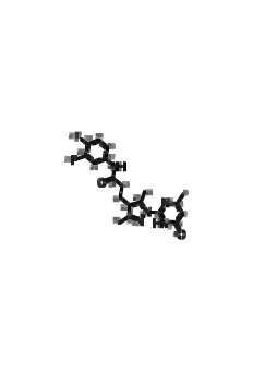 Cc1cc(=O)[nH]c(-n2nc(C)c(CCC(=O)Nc3ccc(F)c(F)c3)c2C)n1